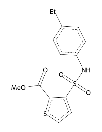 CCc1ccc(NS(=O)(=O)c2ccsc2C(=O)OC)cc1